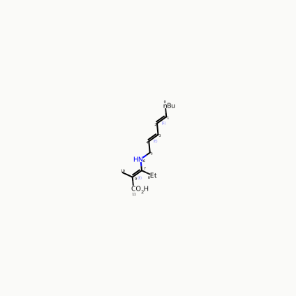 CCCC/C=C/C=C/CN/C(CC)=C(\C)C(=O)O